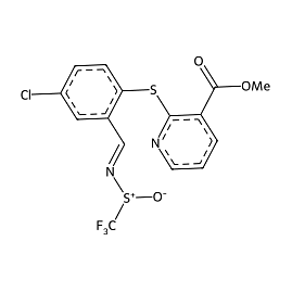 COC(=O)c1cccnc1Sc1ccc(Cl)cc1C=N[S+]([O-])C(F)(F)F